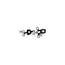 O=C(O)c1ccc(NCN2C(=O)C3C4CCC(O4)[C@H]3C2=O)cc1